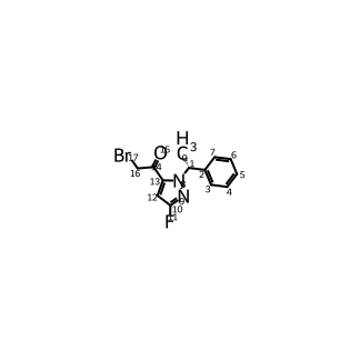 C[C@H](c1ccccc1)n1nc(F)cc1C(=O)CBr